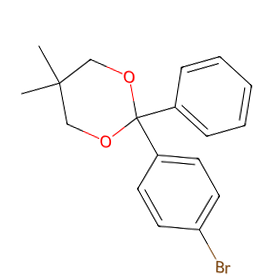 CC1(C)COC(c2ccccc2)(c2ccc(Br)cc2)OC1